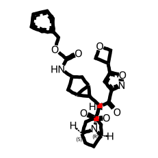 O=C(NC1CC2C(C1)C2CS(=O)(=O)N1[C@@H]2CC[C@H]1CC(NC(=O)c1cc(C3COC3)on1)C2)OCc1ccccc1